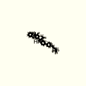 Cc1cc(-c2[nH]c3ccc(C4CCN(CCCC(F)(F)F)CC4)cc3c2C(C)C)cn(Cc2ccccc2)c1=O